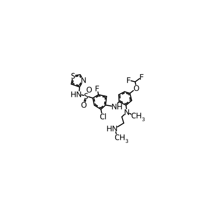 CNCCN(C)c1cc(OC(F)F)ccc1Nc1cc(F)c(S(=O)(=O)Nc2cscn2)cc1Cl